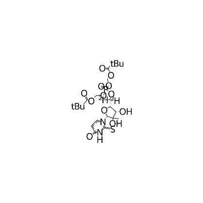 [2H]C([2H])(OP(=O)(OCOC(=O)C(C)(C)C)OCOC(=O)C(C)(C)C)[C@H]1O[C@@H](n2ccc(=O)[nH]c2=S)C(C)(O)[C@H]1O